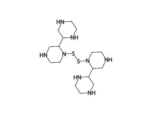 C1CNC(C2CNCCN2SSN2CCNCC2C2CNCCN2)CN1